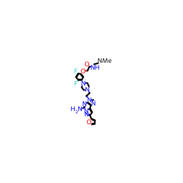 CNCCNC(=O)COc1cc(N2CCN(CCn3cnc4c3nc(N)n3nc(-c5ccco5)cc43)CC2)c(F)cc1F